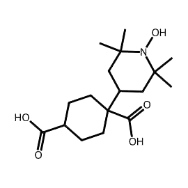 CC1(C)CC(C2(C(=O)O)CCC(C(=O)O)CC2)CC(C)(C)N1O